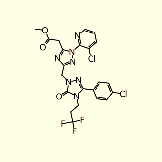 COC(=O)Cc1nc(Cn2nc(-c3ccc(Cl)cc3)n(CCC(F)(F)F)c2=O)nn1-c1ncccc1Cl